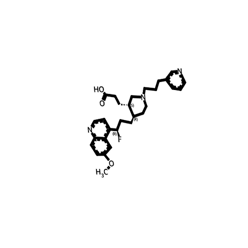 COc1ccc2nccc([C@H](F)CC[C@@H]3CCN(CCCc4cccnc4)C[C@H]3CCC(=O)O)c2c1